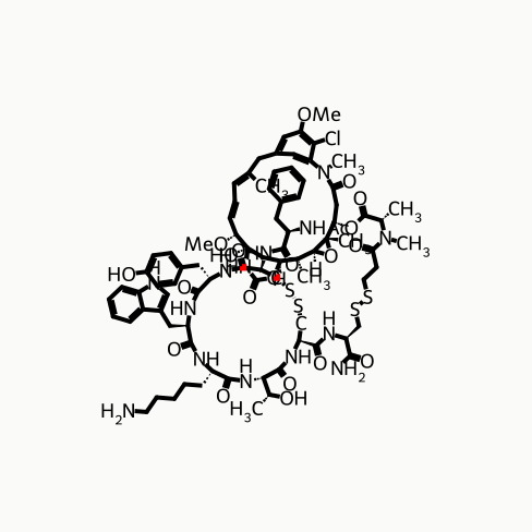 COc1cc2cc(c1Cl)N(C)C(=O)C[C@H](OC(=O)[C@H](C)N(C)C(=O)CCSSC[C@H](NC(=O)[C@@H]1CSSC[C@H](NC(=O)[C@@H](Cc3ccccc3)NC(C)=O)C(=O)N[C@@H](Cc3ccc(O)cc3)C(=O)N[C@H](Cc3c[nH]c4ccccc34)C(=O)N[C@@H](CCCCCN)C(=O)N[C@@H]([C@@H](C)O)C(=O)N1)C(N)=O)[C@]1(C)O[C@H]1[C@H](C)[C@@H]1C[C@@](O)(NC(=O)O1)[C@H](OC)/C=C/C=C(\C)C2